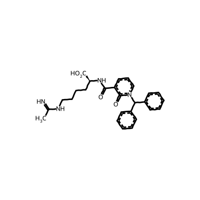 CC(=N)NCCCC[C@H](NC(=O)c1cccn(C(c2ccccc2)c2ccccc2)c1=O)C(=O)O